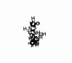 Cl.NC(=O)[C@H](C[C@@H]1CCNC1=O)NC(=O)[C@H]1NC[C@@H]2[C@@H]3CC[C@@H](C3)[C@@H]21